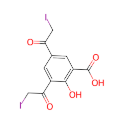 O=C(CI)c1cc(C(=O)O)c(O)c(C(=O)CI)c1